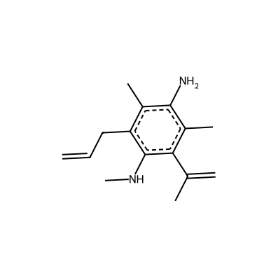 C=CCc1c(C)c(N)c(C)c(C(=C)C)c1NC